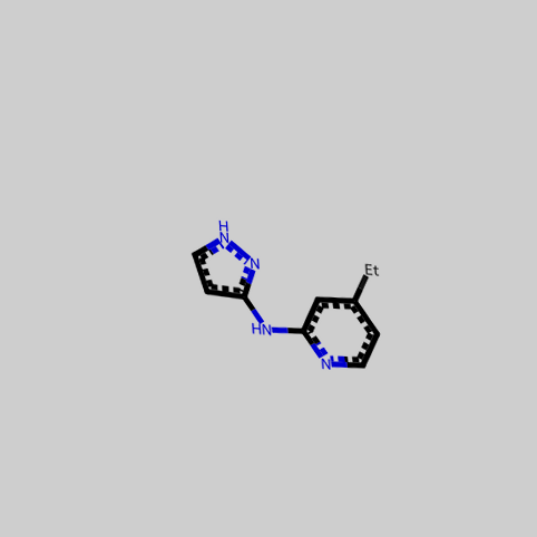 CCc1ccnc(Nc2cc[nH]n2)c1